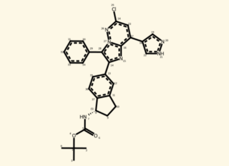 CC(C)(C)OC(=O)N[C@H]1CCc2cc(-c3nc4c(-c5cn[nH]c5)cc(Cl)nn4c3-c3ccccc3)ccc21